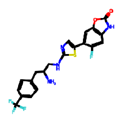 NC(CNc1ncc(-c2cc3oc(=O)[nH]c3cc2F)s1)Cc1ccc(C(F)(F)F)cc1